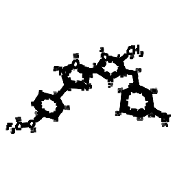 Cc1oc(-c2nc(-c3ccc(OC(F)(F)F)cc3)no2)nc1Cc1cccc(Br)c1